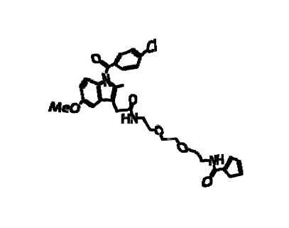 COc1ccc2c(c1)c(CC(=O)NCCOCCOCCNC(=O)C1=CC=CC1)c(C)n2C(=O)c1ccc(Cl)cc1